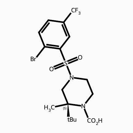 CC(C)(C)[C@@]1(C)CN(S(=O)(=O)c2cc(C(F)(F)F)ccc2Br)CCN1C(=O)O